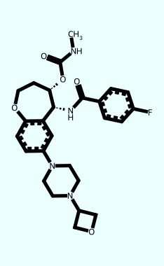 CNC(=O)O[C@H]1CCOc2ccc(N3CCN(C4COC4)CC3)cc2[C@H]1NC(=O)c1ccc(F)cc1